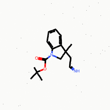 CC(C)(C)OC(=O)N1CC(C)(CC=N)c2ccccc21